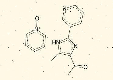 CC(=O)c1nc(-c2cccnc2)[nH]c1C.[O-][n+]1ccccc1